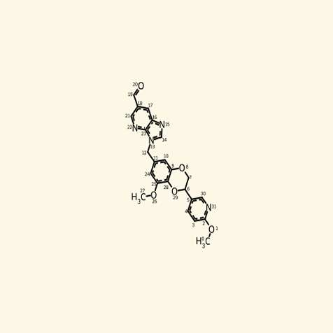 COc1ccc(C2COc3cc(Cn4cnc5cc(C=O)cnc54)cc(OC)c3O2)cn1